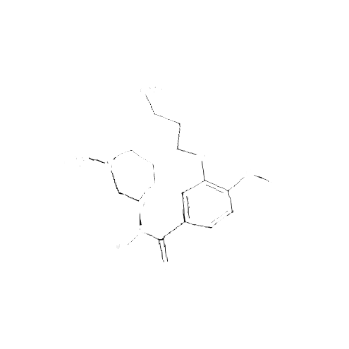 CCCOc1ccc(C(=O)N(C(C)C)[C@@H]2CCCN(C(=O)O)C2)cc1OCCCOC